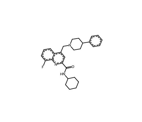 O=C(NC1CCCCC1)c1cc(CN2CCC(c3ccccc3)CC2)c2cccc(F)c2n1